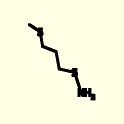 CSCCCSN